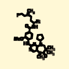 CCC(CCN(C)CCF)NC(=O)c1ccc(Nc2ncc3c(n2)N(C2CCCC2)CC(C)(C)C(=O)N3C)c(OC)c1